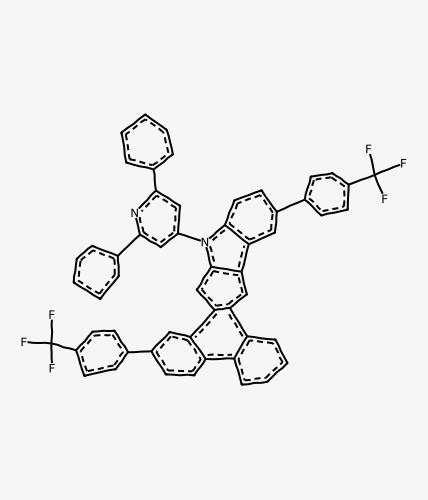 FC(F)(F)c1ccc(-c2ccc3c4ccccc4c4cc5c6cc(-c7ccc(C(F)(F)F)cc7)ccc6n(-c6cc(-c7ccccc7)nc(-c7ccccc7)c6)c5cc4c3c2)cc1